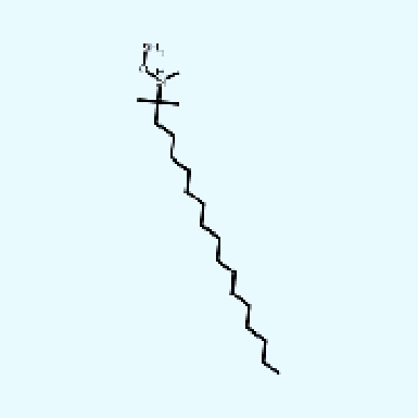 CCCCCCCCCCCCCCCCC(C)(C)[SiH](C)O[SiH3]